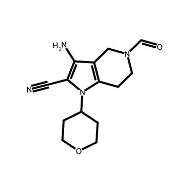 N#Cc1c(N)c2c(n1C1CCOCC1)CCN(C=O)C2